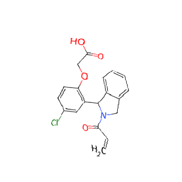 C=CC(=O)N1Cc2ccccc2C1c1cc(Cl)ccc1OCC(=O)O